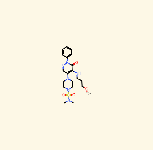 CC(C)OCCCNc1c(N2CCN(S(=O)(=O)N(C)C)CC2)cnn(-c2ccccc2)c1=O